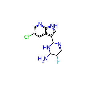 NC1NC(c2c[nH]c3ncc(Cl)cc23)N=CC1F